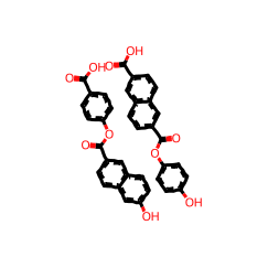 O=C(O)c1ccc(OC(=O)c2ccc3cc(O)ccc3c2)cc1.O=C(O)c1ccc2cc(C(=O)Oc3ccc(O)cc3)ccc2c1